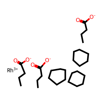 C1CCCCC1.C1CCCCC1.C1CCCCC1.CCCC(=O)[O-].CCCC(=O)[O-].CCCC(=O)[O-].[Rh+3]